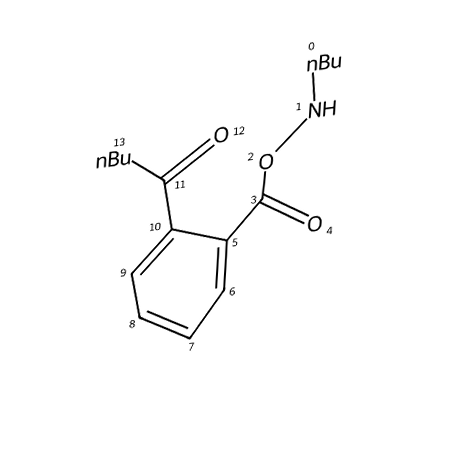 CCCCNOC(=O)c1ccccc1C(=O)CCCC